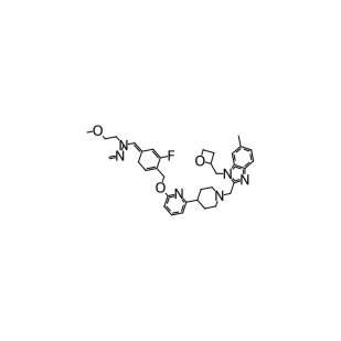 C=NN(/C=C1/C=C(F)C(COc2cccc(C3CCN(Cc4nc5ccc(C)cc5n4CC4CCO4)CC3)n2)=CC1)CCOC